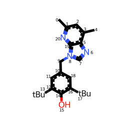 Cc1cc(C)c2n[c]n(Cc3cc(C(C)(C)C)c(O)c(C(C)(C)C)c3)c2n1